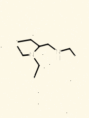 CCNCC1CSCN1CC